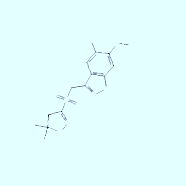 CCOC(=O)Nc1cc2onc(CS(=O)(=O)C3=NOC(C)(C)C3)c2cc1F